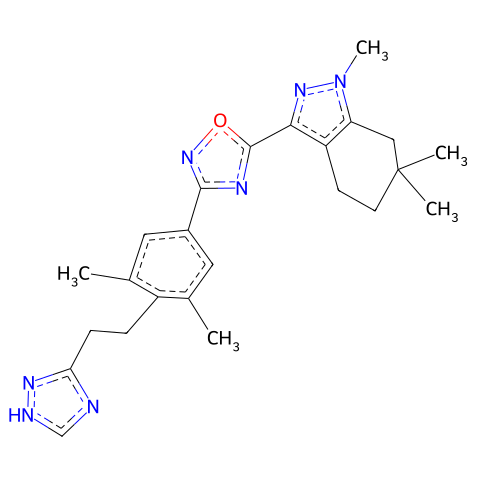 Cc1cc(-c2noc(-c3nn(C)c4c3CCC(C)(C)C4)n2)cc(C)c1CCc1nc[nH]n1